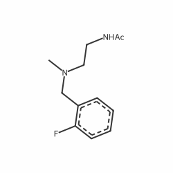 CC(=O)NCCN(C)Cc1ccccc1F